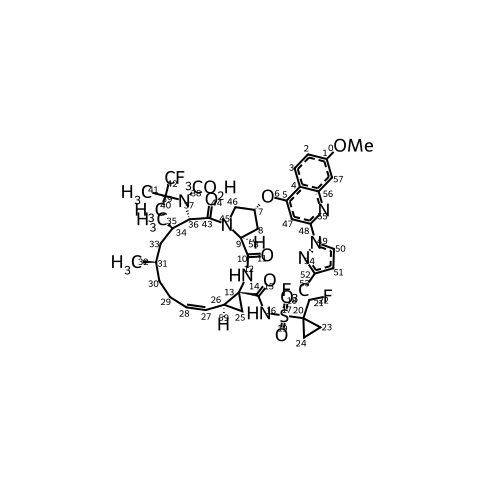 COc1ccc2c(O[C@@H]3C[C@H]4C(=O)N[C@]5(C(=O)NS(=O)(=O)C6(CF)CC6)C[C@H]5C=CCC[C@@H](C)C[C@@H](C)[C@H](N(C(=O)O)C(C)(C)C(F)(F)F)C(=O)N4C3)cc(-n3ccc(C(F)(F)F)n3)nc2c1